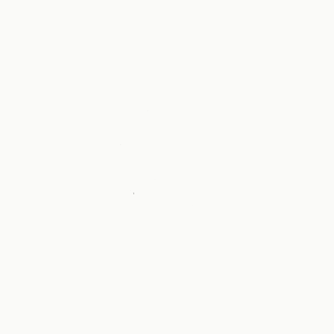 CC(C)N(Cc1ccc(F)cc1F)S(=O)(=O)c1c(F)c(F)c(F)c(F)c1F